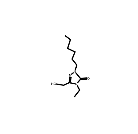 CCCCCCn1nc(CO)n(CC)c1=O